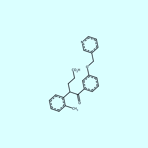 Cc1ccccc1C(CCC(=O)O)C(=O)c1cccc(OCc2cccnc2)c1